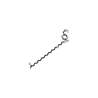 BC[C@H]1COP(=O)(OCCCOCCCCCCCCCCCCCCC(C)F)CO1